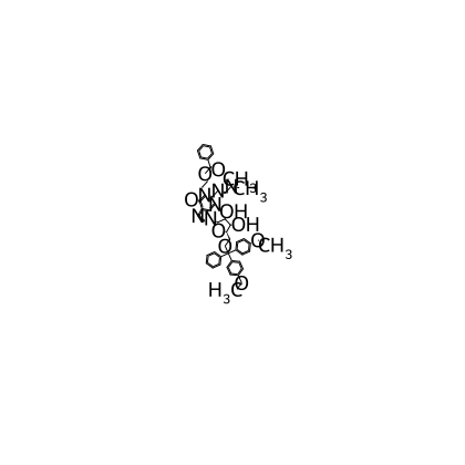 COc1ccc(C(OC[C@H]2O[C@@H](n3cnc4c(=O)n(CCOC(=O)c5ccccc5)c(N=CN(C)C)nc43)[C@H](O)[C@@H]2O)(c2ccccc2)c2ccc(OC)cc2)cc1